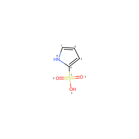 O=S(=O)(O)c1ccc[nH]1